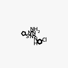 Nc1nc(CNc2cccc(Cl)c2)nc(SC2CCCC2)n1